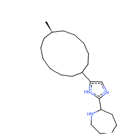 C[C@@H]1CCCCCCC(c2cnc(C3CCCCCN3)[nH]2)CCCCC1